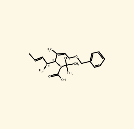 CC(=CCOCc1ccccc1)[C@H]([C@@H](C)C=CI)N(C(=O)O)C(C)(C)C